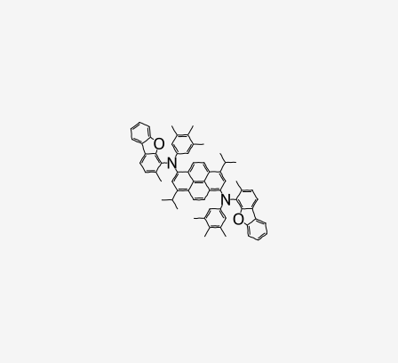 Cc1cc(N(c2cc(C(C)C)c3ccc4c(N(c5cc(C)c(C)c(C)c5)c5c(C)ccc6c5oc5ccccc56)cc(C(C)C)c5ccc2c3c54)c2c(C)ccc3c2oc2ccccc23)cc(C)c1C